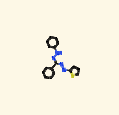 c1ccc(NN=C(N=Nc2cccs2)c2ccccc2)cc1